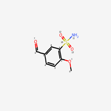 COc1ccc(C=O)cc1S(N)(=O)=O